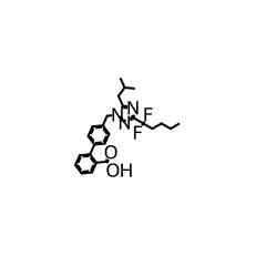 CCCCC(F)(F)c1nc(CC(C)C)n(Cc2ccc(-c3ccccc3C(=O)O)cc2)n1